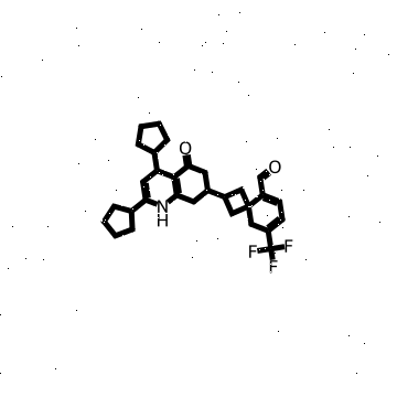 O=CC1=CC=C(C(F)(F)F)CC12CC(C1CC(=O)C3=C(C1)NC(C1CCCC1)=CC3C1CCCC1)C2